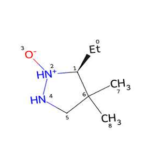 CC[C@@H]1[NH+]([O-])NCC1(C)C